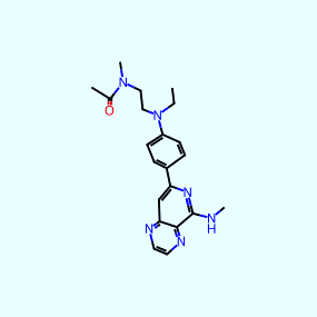 CCN(CCN(C)C(C)=O)c1ccc(-c2cc3nccnc3c(NC)n2)cc1